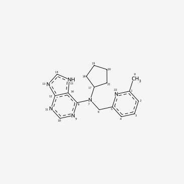 Cc1cccc(CN(c2ncnc3nc[nH]c23)C2CCCC2)n1